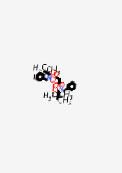 CCC(C)(C)C(=O)N(Cc1ccccc1)OC(=O)CC(=O)ON(Cc1ccccc1)C(=O)C(C)(C)CC